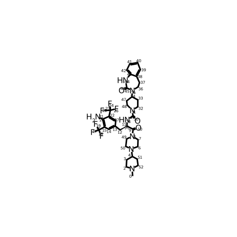 CN1CCC(N2CCN(C(=O)[C@@H](Cc3cc(C(F)(F)F)c(N)c(C(F)(F)F)c3)NC(=O)N3CCC(N4CCc5ccccc5NC4=O)CC3)CC2)CC1